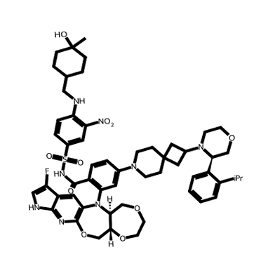 CC(C)c1ccccc1[C@@H]1COCCN1C1CC2(CCN(c3ccc(C(=O)NS(=O)(=O)c4ccc(NCC5CCC(C)(O)CC5)c([N+](=O)[O-])c4)c(N4c5cc6c(F)c[nH]c6nc5OC[C@H]5OCCOC[C@@H]54)c3)CC2)C1